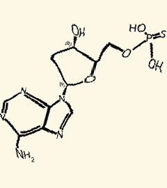 Nc1ncnc2c1ncn2[C@H]1C[C@@H](O)C(COP(O)(O)=S)O1